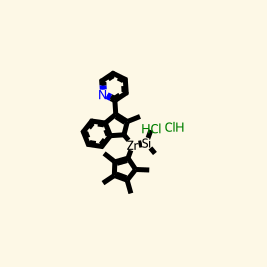 CC1=C(C)C(C)[C]([Zr]([CH]2C(C)=C(c3ccccn3)c3ccccc32)=[Si](C)C)=C1C.Cl.Cl